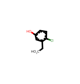 O=C(O)Cc1cc(O)ccc1Cl